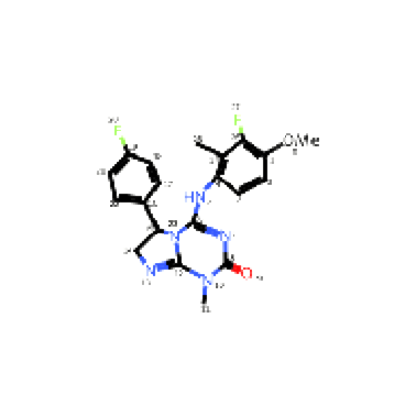 COc1ccc(NC2=NC(=O)N(C)C3=NCC(c4ccc(F)cc4)N23)c(C)c1F